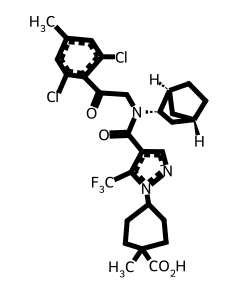 Cc1cc(Cl)c(C(=O)CN(C(=O)c2cnn(C3CCC(C)(C(=O)O)CC3)c2C(F)(F)F)[C@H]2C[C@H]3CC[C@H]2C3)c(Cl)c1